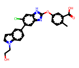 Cc1ccc(Oc2nc3cc(-c4ccc5c(ccn5CCO)c4)c(Cl)cc3[nH]2)cc1C(=O)O